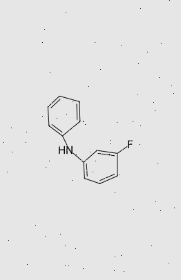 Fc1cccc(Nc2[c]cccc2)c1